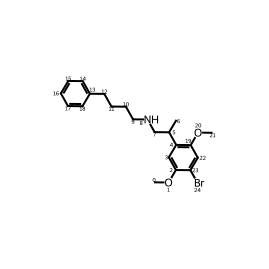 COc1cc(C(C)CNCCCCc2ccccc2)c(OC)cc1Br